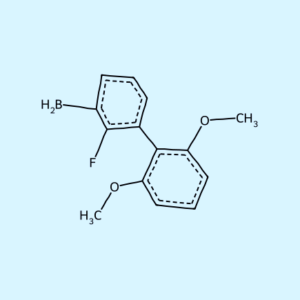 Bc1cccc(-c2c(OC)cccc2OC)c1F